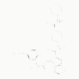 CCN(C(=O)Cn1c(C(=O)N[C@H]2CC[C@H](C(=O)NC3CCCCC3)CC2)cc2sccc21)c1cccc(C)c1